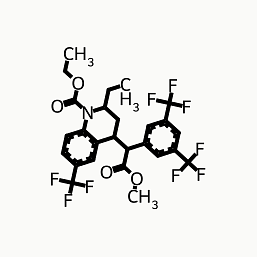 CCOC(=O)N1c2ccc(C(F)(F)F)cc2C(C(C(=O)OC)c2cc(C(F)(F)F)cc(C(F)(F)F)c2)CC1CC